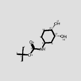 CC(C)(C)OC(=O)NC1CC[C@H](O)[C@H](O)C1